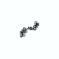 CCOC(=O)c1ncn2c1COc1c(CCN3CCN(c4cccc5nc(C(=O)N(C)C)ccc45)CC3)cccc1-2